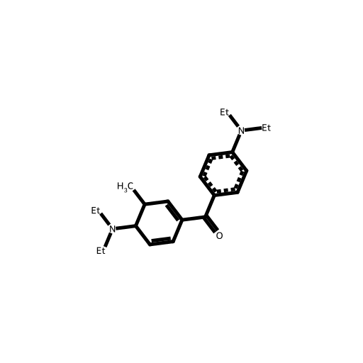 CCN(CC)c1ccc(C(=O)C2=CC(C)C(N(CC)CC)C=C2)cc1